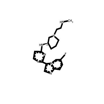 CN[CH][CH]N1CCC[C@@H](Nc2ccnc(-c3cnc4ccc(F)cn34)n2)C1